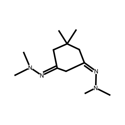 CN(C)/N=C1\C/C(=N/N(C)C)CC(C)(C)C1